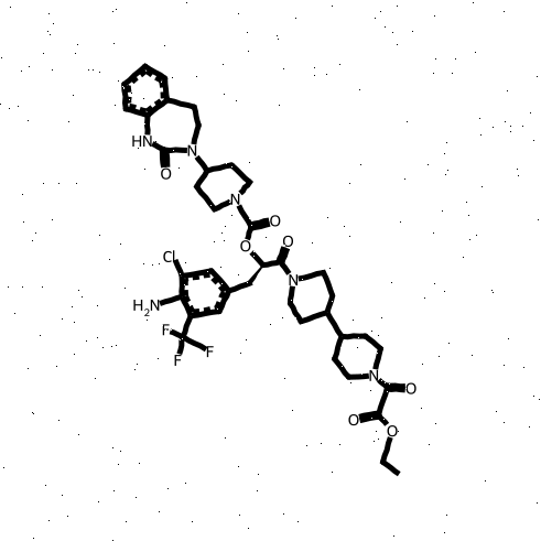 CCOC(=O)C(=O)N1CCC(C2CCN(C(=O)[C@@H](Cc3cc(Cl)c(N)c(C(F)(F)F)c3)OC(=O)N3CCC(N4CCc5ccccc5NC4=O)CC3)CC2)CC1